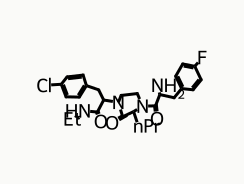 CCCC1C(=O)N(C(Cc2ccc(Cl)cc2)C(=O)NCC)CCN1C(=O)C(N)Cc1ccc(F)cc1